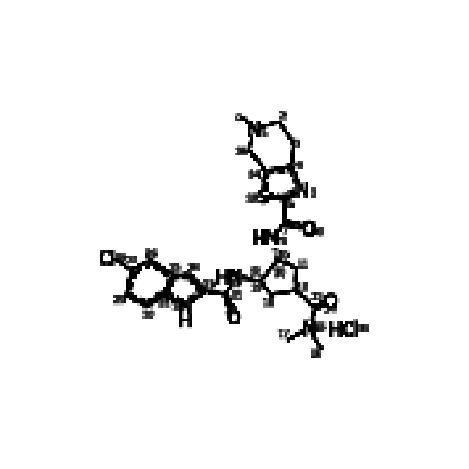 CN1CCc2nc(C(=O)N[C@@H]3CC(C(=O)N(C)C)C[C@H]3NC(=O)c3cc4cc(Cl)ccc4[nH]3)sc2C1.Cl